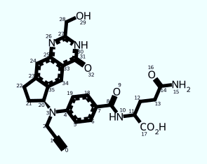 C#CCN(c1ccc(C(=O)NC(CCC(N)=O)C(=O)O)cc1)[C@H]1CCc2cc3nc(CO)[nH]c(=O)c3cc21